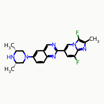 Cc1nc2c(F)cc(-c3ncc4cc(N5C[C@@H](C)N[C@@H](C)C5)ccc4n3)cn2c1F